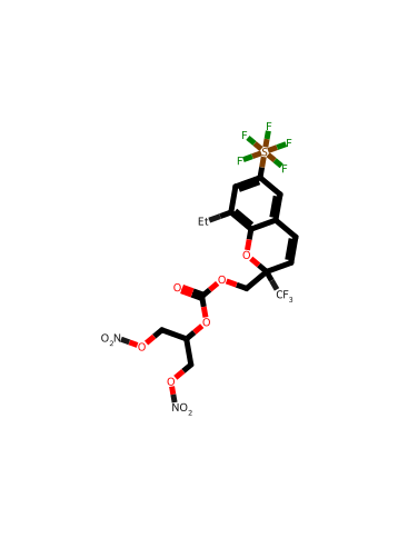 CCc1cc(S(F)(F)(F)(F)F)cc2c1OC(COC(=O)OC(CO[N+](=O)[O-])CO[N+](=O)[O-])(C(F)(F)F)C=C2